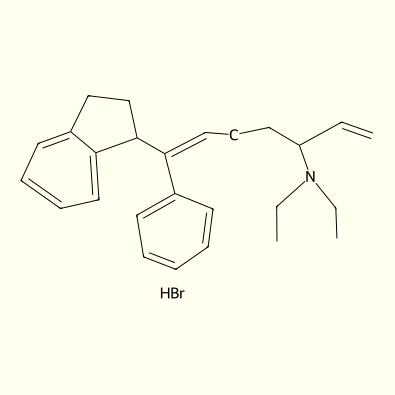 Br.C=CC(CCC=C(c1ccccc1)C1CCc2ccccc21)N(CC)CC